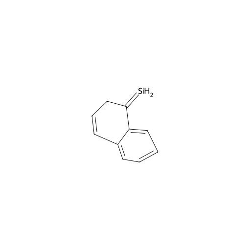 [SiH2]=C1CC=Cc2ccccc21